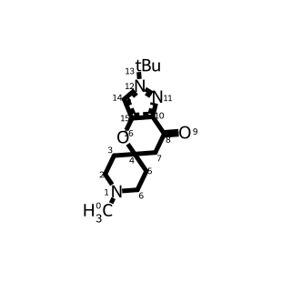 CN1CCC2(CC1)CC(=O)c1nn(C(C)(C)C)cc1O2